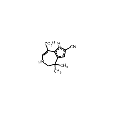 CC1(C)CNC=C(C(=O)O)c2[nH]c(C#N)cc21